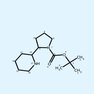 CC(C)(C)OC(=O)N1CCCC1C1CCCCN1